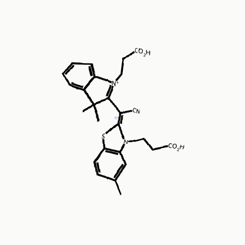 Cc1ccc2c(c1)N(CCC(=O)O)/C(=C(\C#N)C1=[N+](CCC(=O)O)c3ccccc3C1(C)C)S2